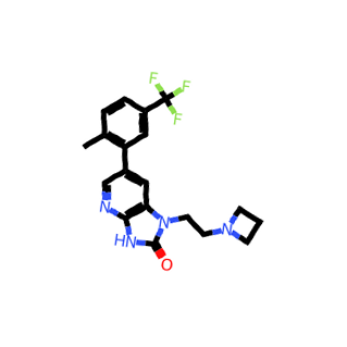 Cc1ccc(C(F)(F)F)cc1-c1cnc2[nH]c(=O)n(CCN3CCC3)c2c1